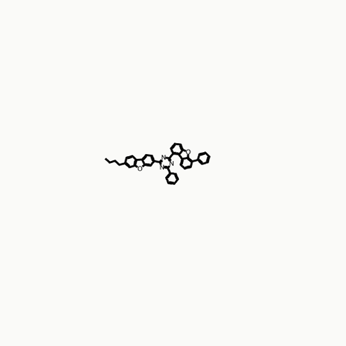 CCCCc1ccc2c(c1)oc1cc(-c3nc(-c4ccccc4)nc(-c4cccc5oc6c(-c7ccccc7)cccc6c45)n3)ccc12